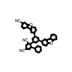 N#Cc1cc(C#N)c(-c2cc(-c3ccc4oc5ccccc5c4c3)cc(-c3ccc4oc5cc(C#N)ccc5c4c3)c2)c(-c2ccccc2)c1